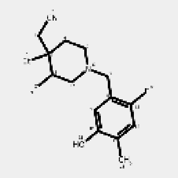 CCC1(CC#N)CCN(Cc2cc(O)c(C)cc2F)CC1F